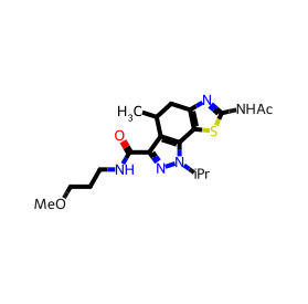 COCCCNC(=O)c1nn(C(C)C)c2c1C(C)Cc1nc(NC(C)=O)sc1-2